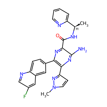 C[C@@H](NC(=O)c1nc(-c2ccc3ncc(F)cc3c2)c(-c2ccn(C)n2)nc1N)c1ccccn1